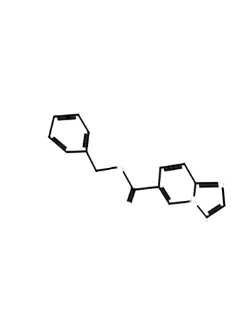 O=C(NCc1ccccc1)c1ccc2nccn2c1